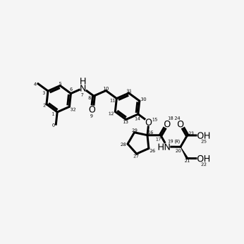 Cc1cc(C)cc(NC(=O)Cc2ccc(OC3(C(=O)N[C@H](CO)C(=O)O)CCCC3)cc2)c1